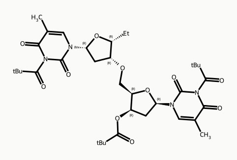 CC[C@H]1O[C@@H](n2cc(C)c(=O)n(C(=O)C(C)(C)C)c2=O)C[C@H]1OC[C@H]1O[C@@H](n2cc(C)c(=O)n(C(=O)C(C)(C)C)c2=O)C[C@H]1OC(=O)C(C)(C)C